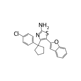 Nc1nc(C2(c3ccc(Cl)cc3)CCCC2)c(-c2cc3ccccc3o2)s1